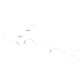 NC(=O)C/C(=N\SCNC(=O)NCCCN1CCOCC1)c1ccc(NC=O)cc1